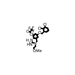 COCCN(Cc1cccc(OCc2cccc(Cl)c2Cl)c1)C(=N)N.O=C(O)C(F)(F)F